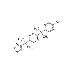 CC(C)(c1ccc(C(C)(C)c2cncs2)cn1)c1cnc(S)cn1